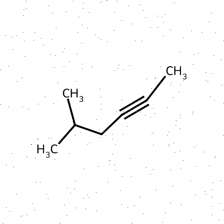 CC#CCC(C)C